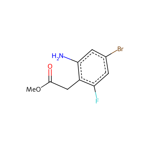 COC(=O)Cc1c(N)cc(Br)cc1F